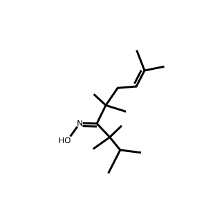 CC(C)=CCC(C)(C)C(=NO)C(C)(C)C(C)C